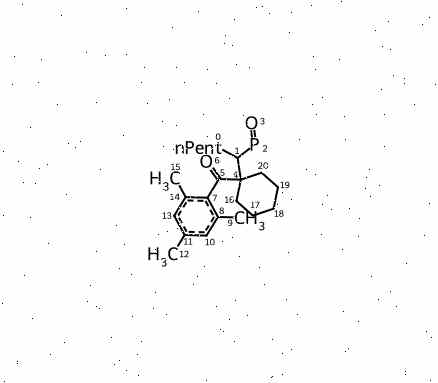 CCCCCC(P=O)C1(C(=O)c2c(C)cc(C)cc2C)CCCCC1